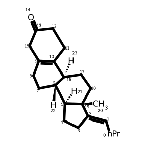 CCCC=C1CC[C@H]2[C@@H]3CCC4=C(CCC(=O)C4)[C@H]3CC[C@]12C